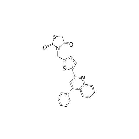 O=C1CSC(=O)N1Cc1ccc(-c2cc(-c3ccccc3)c3ccccc3n2)s1